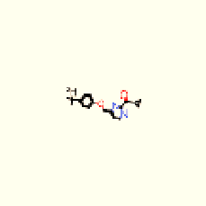 [2H]C(C)(C)c1ccc(OCc2ccnc(C(=O)C3CC3)n2)cc1